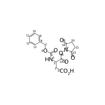 O=C(O)CC(NC(=O)OCc1ccccc1)C(=O)ON1C(=O)CCC1=O